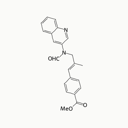 COC(=O)c1ccc(C=C(C)CN(C=O)c2cnc3ccccc3c2)cc1